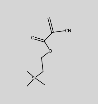 C=C(C#N)C(=O)OCC[Si](C)(C)C